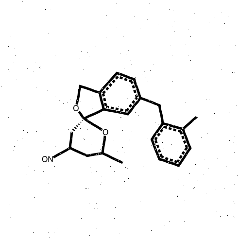 Cc1ccccc1Cc1ccc2c(c1)[C@]1(CC(N=O)CC(C)O1)OC2